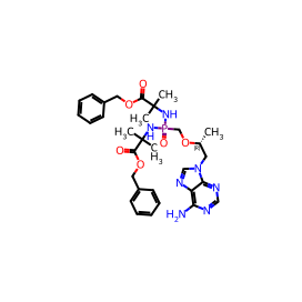 C[C@H](Cn1cnc2c(N)ncnc21)OCP(=O)(NC(C)(C)C(=O)OCc1ccccc1)NC(C)(C)C(=O)OCc1ccccc1